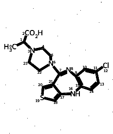 CC(C(=O)O)N1CCN(C2=Nc3cc(Cl)ccc3Nc3cscc32)CC1